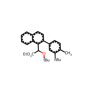 CCCCc1cc(-c2ccc3ccccc3c2C(OC(C)(C)C)C(=O)OCC)ccc1C